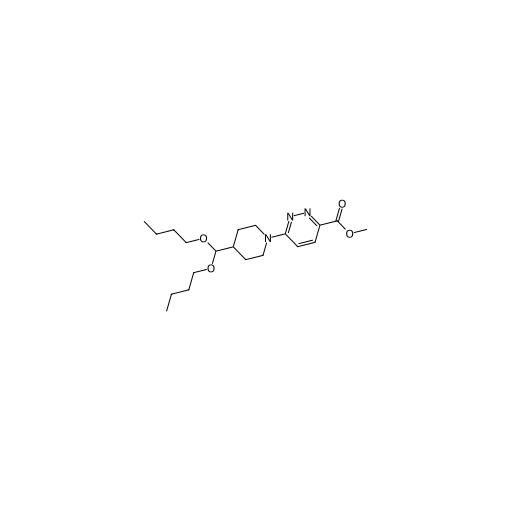 CCCCOC(OCCCC)C1CCN(c2ccc(C(=O)OC)nn2)CC1